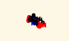 Cc1c(C(=O)N(c2ccncc2)c2ccc(OP(=O)(O)O)cc2)cc(-c2cc3c(cc2C(=O)N2Cc4ccccc4C[C@H]2CN2CCOCC2)CN(C(=O)O)CC3)n1C